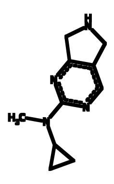 CN(c1ncc2c(n1)CNC2)C1CC1